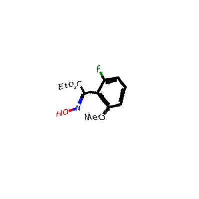 CCOC(=O)C(=NO)c1c(F)cccc1OC